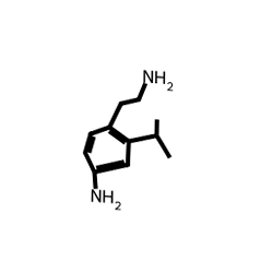 CC(C)c1cc(N)ccc1CCN